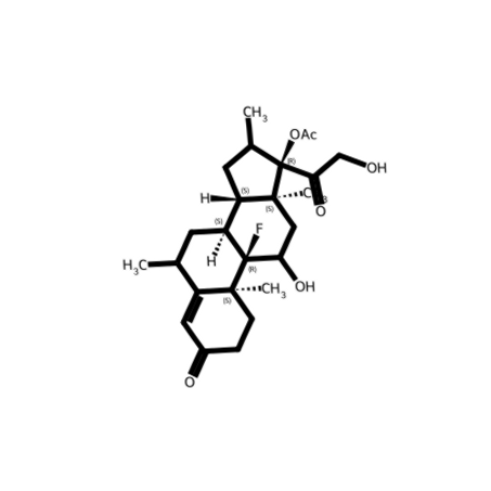 CC(=O)O[C@]1(C(=O)CO)C(C)C[C@H]2[C@@H]3CC(C)C4=CC(=O)CC[C@]4(C)[C@@]3(F)C(O)C[C@@]21C